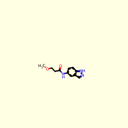 COCCC(=O)Nc1ccc2[nH]ncc2c1